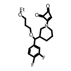 CCOCCCOC(c1ccc(F)c(F)c1)C1CCCN(c2cc(=O)c2=O)C1